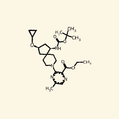 CCOC(=O)c1ncc(C)nc1N1CCC2(CC1)C[C@@H](OC1CC1)C[C@H]2NC(=O)OC(C)(C)C